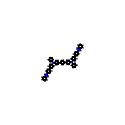 c1ccc(N(c2ccc(-c3ccc(-c4ccc(N(c5ccccc5)c5ccc(-c6ccc(-n7nc8ccccc8n7)cc6)cc5)cc4)cc3)cc2)c2ccc(-c3ccc(-n4nc5ccccc5n4)cc3)cc2)cc1